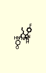 C=C/C=C(\C=C(/N)NC1CCC(=O)CC1)c1c[nH]nc1-c1ccc(F)cc1